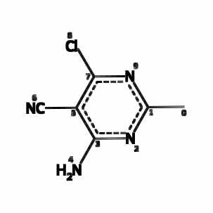 Cc1nc(N)c(C#N)c(Cl)n1